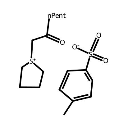 CCCCCC(=O)C[S+]1CCCC1.Cc1ccc(S(=O)(=O)[O-])cc1